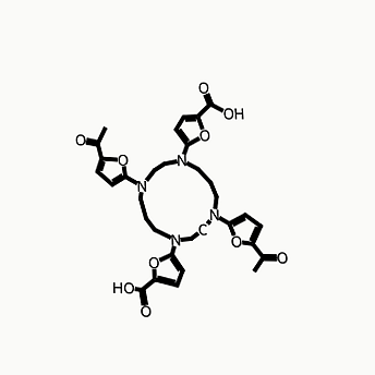 CC(=O)c1ccc(N2CCCN(c3ccc(C(=O)O)o3)CCN(c3ccc(C(C)=O)o3)CCCN(c3ccc(C(=O)O)o3)CC2)o1